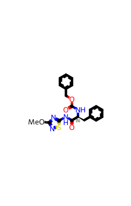 COc1nsc(NC(=O)[C@H](Cc2ccccc2)NC(=O)OCc2ccccc2)n1